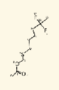 CC(=O)OCSCCCCC(C)(F)F